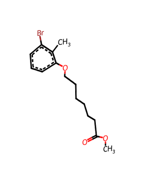 COC(=O)CCCCCCOc1cccc(Br)c1C